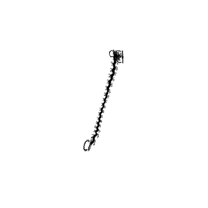 ClCCCCCCCCCCCCCCCCCCCCCCCCCCCCCCCC[Si](Cl)(Cl)Cl